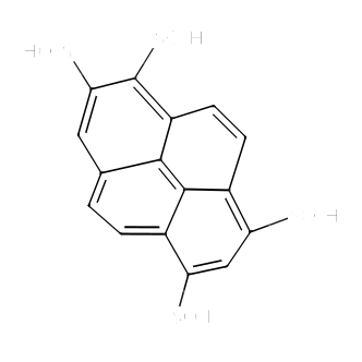 O=S(=O)(O)c1cc2ccc3c(S(=O)(=O)O)cc(S(=O)(=O)O)c4ccc(c1S(=O)(=O)O)c2c34